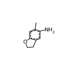 Cc1cc2c(cc1N)CCO2